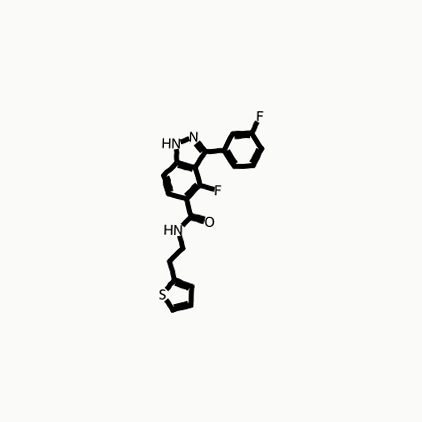 O=C(NCCc1cccs1)c1ccc2[nH]nc(-c3cccc(F)c3)c2c1F